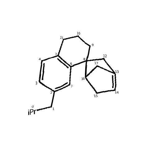 CC(C)Cc1ccc2c(c1)C1(CCC2)CC2=CCC1C2